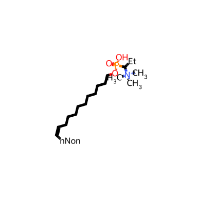 CCCCCCCCC/C=C\CCCCCCCCCCOP(=O)(O)C(CC)[N+](C)(C)C